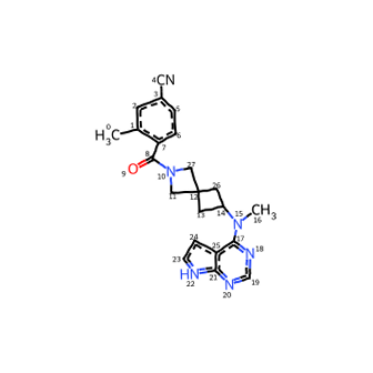 Cc1cc(C#N)ccc1C(=O)N1CC2(CC(N(C)c3ncnc4[nH]ccc34)C2)C1